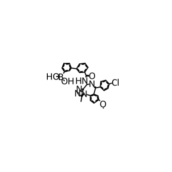 COc1ccc2c(c1)C(c1ccc(Cl)cc1)=N[C@@H](NC(=O)c1cccc(-c3cccc(B(O)O)c3)c1)c1nnc(C)n1-2